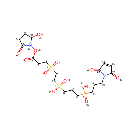 O=C(CCS(=O)(=O)CCS(=O)(=O)CCCP(=O)(O)CCCN1C(=O)C=CC1=O)ON1C(=O)CCC1O